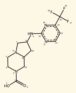 O=C(O)N1CCN2CC(Nc3nccc(C(F)(F)F)n3)CC2C1